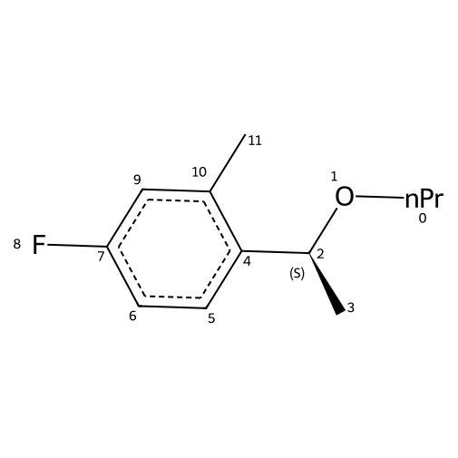 CCCO[C@@H](C)c1ccc(F)cc1C